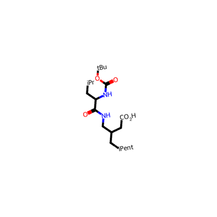 CCCC(C)CC(CNC(=O)C(CC(C)C)NC(=O)OC(C)(C)C)CC(=O)O